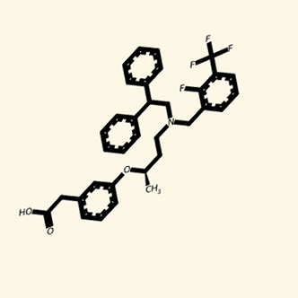 C[C@H](CCN(Cc1cccc(C(F)(F)F)c1F)CC(c1ccccc1)c1ccccc1)Oc1cccc(CC(=O)O)c1